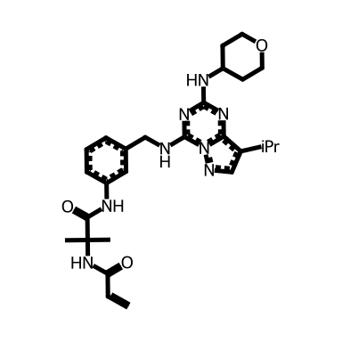 C=CC(=O)NC(C)(C)C(=O)Nc1cccc(CNc2nc(NC3CCOCC3)nc3c(C(C)C)cnn23)c1